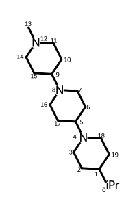 CC(C)C1CCN(C2CCN(C3CCN(C)CC3)CC2)CC1